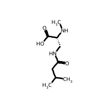 CN[C@H](CNC(=O)CC(C)C)C(=O)O